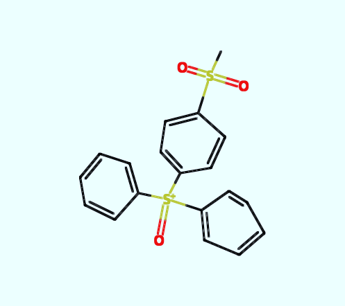 CS(=O)(=O)c1ccc([S+](=O)(c2ccccc2)c2ccccc2)cc1